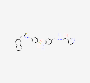 O=S(=O)(Nc1ccc(CCNC[C@H](O)c2cccnc2)cc1)c1ccc(-c2nc(Cc3ccc4ccccc4c3)cs2)cc1